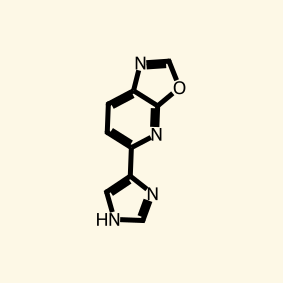 c1nc(-c2ccc3ncoc3n2)c[nH]1